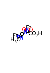 CCn1c(=O)c(C(=O)O)cn(-c2ccc3c(c2)nc(C)n3CC)c1=O